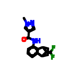 Cn1cc(C(=O)Nc2cccc3c2C2CCC3C2=C(F)F)cn1